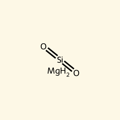 O=[Si]=O.[MgH2]